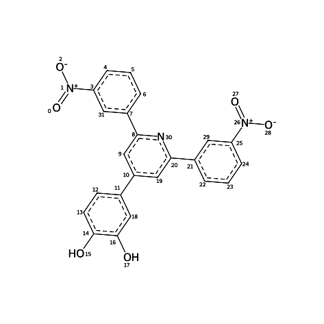 O=[N+]([O-])c1cccc(-c2cc(-c3ccc(O)c(O)c3)cc(-c3cccc([N+](=O)[O-])c3)n2)c1